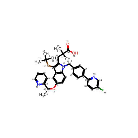 C[C@@H](Oc1ccc2c(c1)c(SC(C)(C)C)c(CC(C)(C)C(=O)O)n2Cc1ccc(-c2ccc(F)cn2)cc1)c1ccccn1